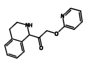 O=C(COc1ccccn1)C1NCCc2ccccc21